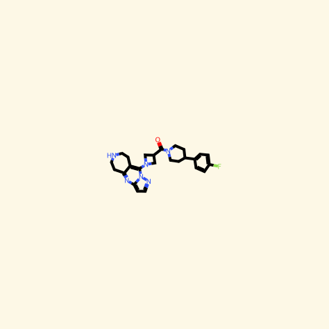 O=C(C1CN(c2c3c(nc4ccnn24)CCNCC3)C1)N1CCC(c2ccc(F)cc2)CC1